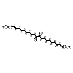 CCCCCCCCC=CCCCCCCCC(=O)C(=O)CCCCCCCCCCCCCCCCCC